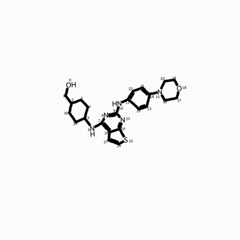 OCC1CCC(Nc2nc(Nc3ccc(N4CCOCC4)cc3)nc3sccc23)CC1